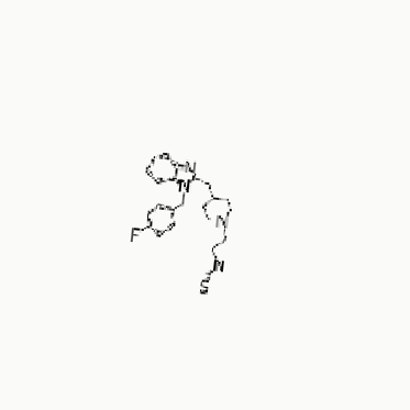 Fc1ccc(Cn2c(CC3CCN(CCN=C=S)CC3)nc3ccccc32)cc1